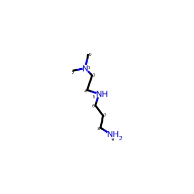 CN(C)CCNCCCN